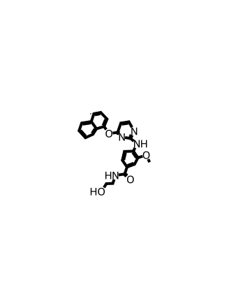 COc1cc(C(=O)NCCO)ccc1Nc1nccc(Oc2cc[c]c3ccccc23)n1